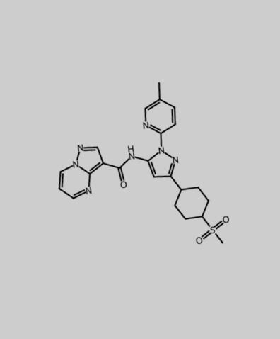 Cc1ccc(-n2nc(C3CCC(S(C)(=O)=O)CC3)cc2NC(=O)c2cnn3cccnc23)nc1